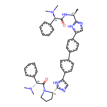 C[C@H](NC(=O)[C@@H](c1ccccc1)N(C)C)c1ncc(-c2ccc(-c3ccc(-c4cnc([C@@H]5CCCN5C(=O)[C@@H](c5ccccc5)N(C)C)[nH]4)cc3)cc2)[nH]1